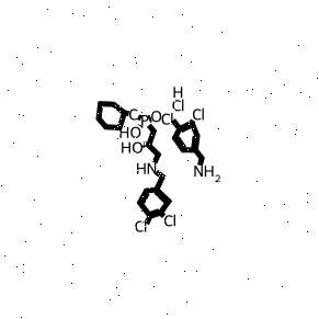 Cl.NCc1ccc(Cl)c(Cl)c1.O=P(O)(CC1CCCCC1)C[C@@H](O)CNCc1ccc(Cl)c(Cl)c1